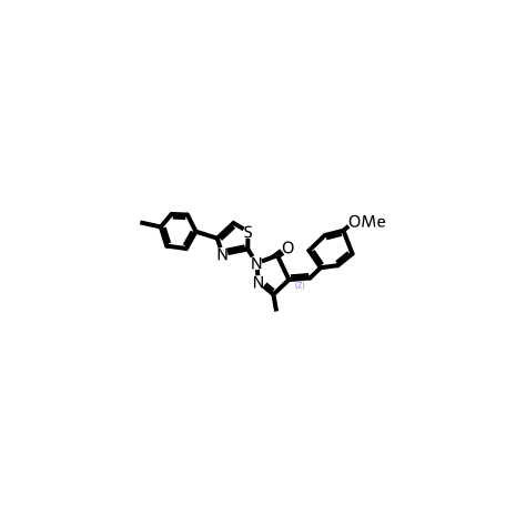 COc1ccc(/C=C2\C(=O)N(c3nc(-c4ccc(C)cc4)cs3)N=C2C)cc1